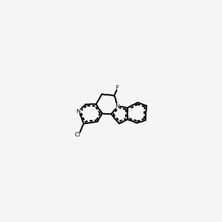 FC1Cc2cnc(Cl)cc2-c2cc3ccccc3n21